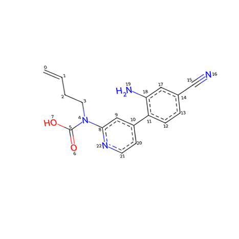 C=CCCN(C(=O)O)c1cc(-c2ccc(C#N)cc2N)ccn1